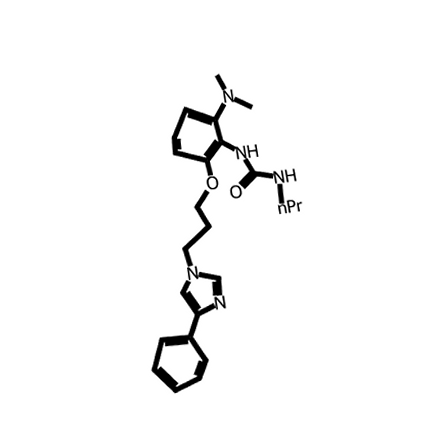 CCCNC(=O)Nc1c(OCCCn2cnc(-c3ccccc3)c2)cccc1N(C)C